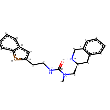 CN(C[C@@H]1Cc2ccccc2CN1)C(=O)NCCc1cc2ccccc2s1